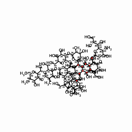 CC1C(O)[C@H](O[C@@H]2OC(CO[C@]3(C(=O)O)C[C@@H](O)[C@@H](N)C([C@H](O)[C@H](O)CO)O3)[C@H](O)C(O)[C@@H]2O)[C@H](CO)O[C@H]1O[C@@H]1C(O)[C@H](O)C(CO)O[C@@H]1OCC1O[C@@H](O[C@@H]2C(CO)O[C@@H](O[C@@H]3C(CO)O[C@@H](C)[C@@H](C)C3O)C(C)[C@H]2O)[C@H](O)C(O[C@H]2O[C@H](CO)[C@@H](O)C(O)C2O[C@@H]2OC(CO)[C@@H](O[C@@H]3OC(CO)[C@H](O)C(O[C@H]4C(O)[C@@H](N)C([C@H](O)[C@H](O)CO)O[C@H]4C(=O)O)[C@@H]3O)C(O)[C@@H]2C)[C@@H]1O